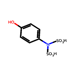 O=S(=O)(O)N(c1ccc(O)cc1)S(=O)(=O)O